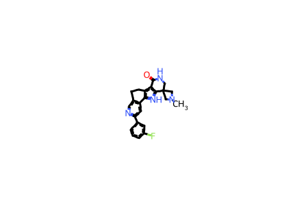 CN1CC2(CNC(=O)c3c2[nH]c2c3CCc3cnc(-c4cccc(F)c4)cc3-2)C1